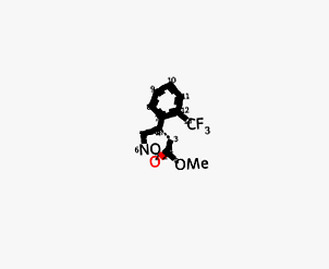 COC(=O)C[C@H](C[N+](=O)[O-])c1ccccc1C(F)(F)F